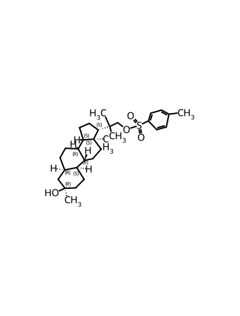 Cc1ccc(S(=O)(=O)OCC(C)(C)[C@H]2CC[C@H]3[C@@H]4CC[C@@H]5C[C@](C)(O)CC[C@@H]5[C@H]4CC[C@]23C)cc1